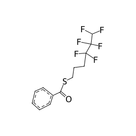 O=C(SCCCC(F)(F)C(F)(F)C(F)F)c1ccccc1